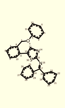 c1ccc(OCc2ccccc2-c2cnc(N=C(c3ccccc3)c3ccccc3)s2)cc1